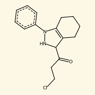 O=C(CCCl)C1NN(c2ccccc2)C2=C1CCCC2